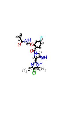 CC1=N/C(=C2\CN(C(=O)c3ccc(F)cc3OCCNC(=O)C3CC3)CC2=N)NC(C)=C1Cl